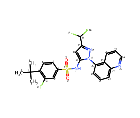 CC(C)(C)c1ccc(S(=O)(=O)Nc2cc(C(F)F)nn2-c2cccc3ncccc23)cc1F